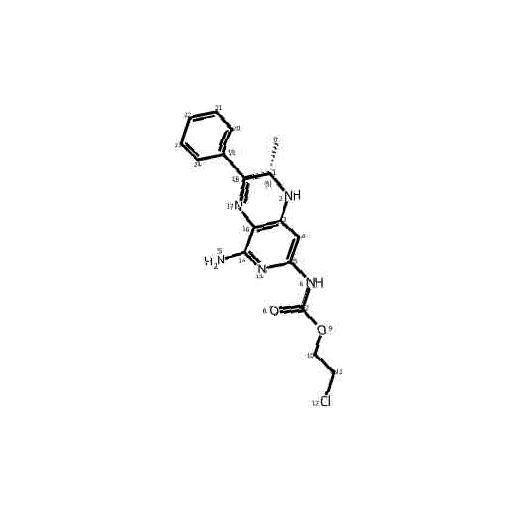 C[C@@H]1Nc2cc(NC(=O)OCCCl)nc(N)c2N=C1c1ccccc1